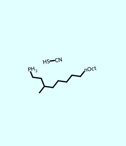 CCCCCCCCCCCCCC(C)CCP.N#CS